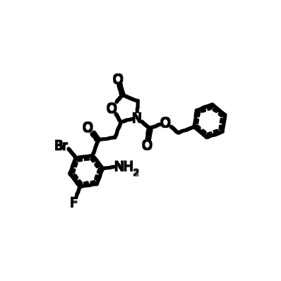 Nc1cc(F)cc(Br)c1C(=O)CC1OC(=O)CN1C(=O)OCc1ccccc1